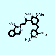 CCCCC1c2ccccc2C=NN1/C=C/C(=O)c1cc(Cc2cnc(N)nc2N)cc(OC)c1OC